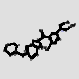 C=C/C(=C\O)c1ccc(N)c(C(=N)c2cc3cc(CN4CCOCC4)ccc3[nH]2)c1